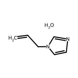 C=CCn1ccnc1.O